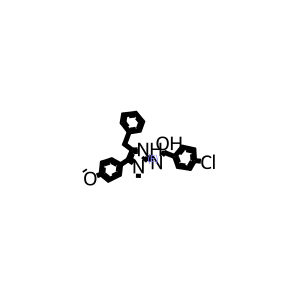 COc1ccc(-c2c(Cc3ccccc3)[nH]/c(=N\C(O)c3ccc(Cl)cc3)n2C)cc1